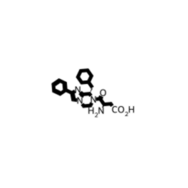 N[C@@H](CC(=O)O)C(=O)N1CCn2cc(-c3ccccc3)nc2[C@@H]1CC1CCCCC1